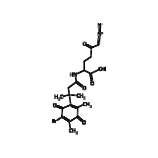 CC1=C(Br)C(=O)C(C(C)(C)CC(=O)NC(CCC(=O)C=[N+]=[N-])C(=O)O)=C(C)C1=O